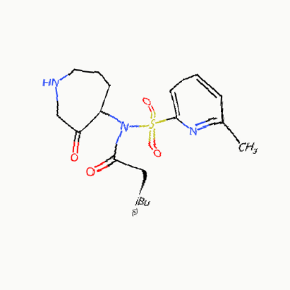 [CH2]C[C@H](C)CC(=O)N(C1CCCNCC1=O)S(=O)(=O)c1cccc(C)n1